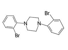 Brc1ccccc1N1CCN(c2ccccc2Br)CC1